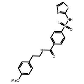 COc1ccc(CCNC(=O)c2ccc(S(=O)(=O)Nc3nccs3)cc2)cc1